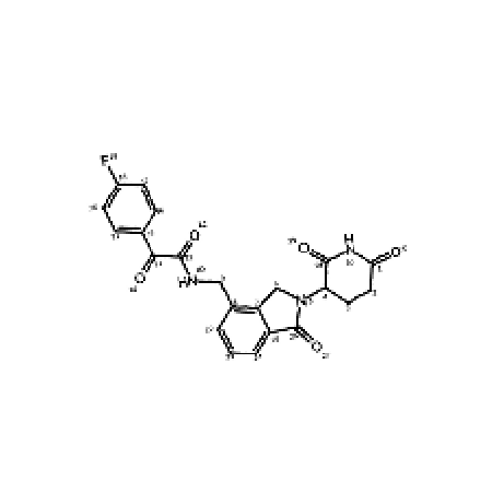 O=C1CCC(N2Cc3c(CNC(=O)C(=O)c4ccc(F)cc4)cccc3C2=O)C(=O)N1